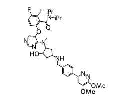 COc1cc(-c2ccc(CN[C@H]3C[C@@H](O)[C@@H](N(C)c4ncncc4Oc4ccc(F)c(F)c4C(=O)N(C(C)C)C(C)C)C3)cc2)nnc1OC